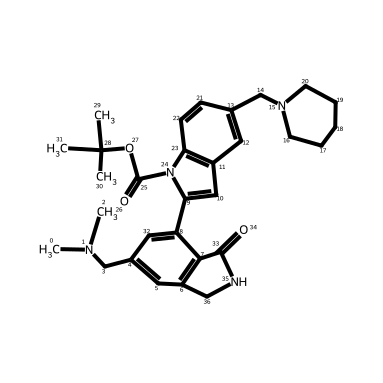 CN(C)Cc1cc2c(c(-c3cc4cc(CN5CCCCC5)ccc4n3C(=O)OC(C)(C)C)c1)C(=O)NC2